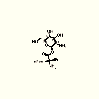 CCCCCC(N)(C(=O)OC1O[C@H](CO)[C@@H](O)[C@H](O)[C@H]1N)C(C)C